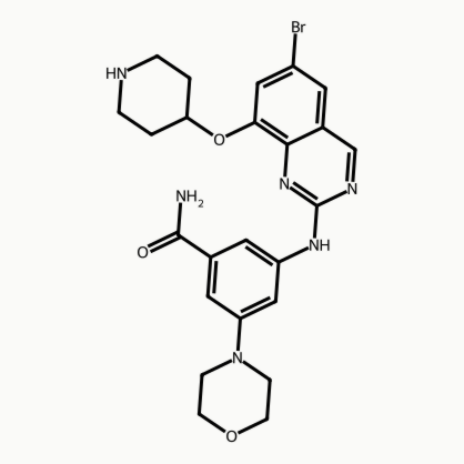 NC(=O)c1cc(Nc2ncc3cc(Br)cc(OC4CCNCC4)c3n2)cc(N2CCOCC2)c1